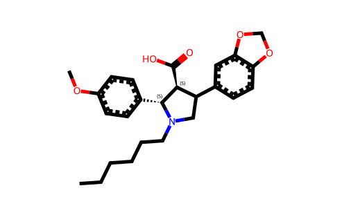 CCCCCCN1CC(c2ccc3c(c2)OCO3)[C@H](C(=O)O)[C@H]1c1ccc(OC)cc1